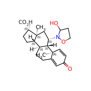 C[C@]12C[C@H](N3OCCC3O)[C@H]3[C@@H](CCC4=CC(=O)C=C[C@@]43C)[C@@H]1CC[C@@H]2C(=O)O